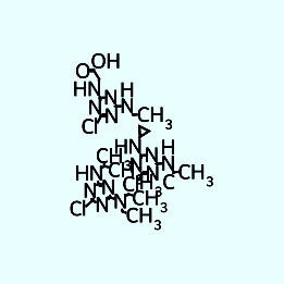 CC(C)Nc1nc(Cl)nc(NC2CC2)n1.CCN(CC)c1nc(Cl)nc(NC(C)C)n1.CCNc1nc(Cl)nc(NCC(=O)O)n1